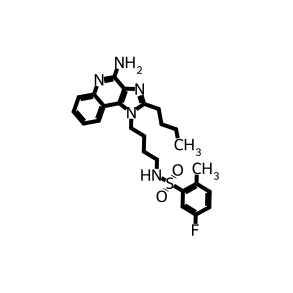 CCCCc1nc2c(N)nc3ccccc3c2n1CCCCNS(=O)(=O)c1cc(F)ccc1C